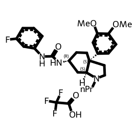 CCCN1CC[C@]2(c3ccc(OC)c(OC)c3)CC[C@@H](NC(=O)Nc3cccc(F)c3)C[C@H]12.O=C(O)C(F)(F)F